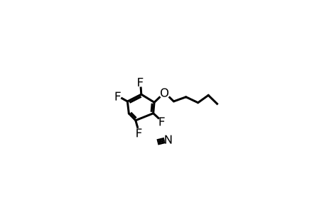 C#N.CCCCCOc1c(F)c(F)cc(F)c1F